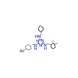 Cc1cccc(CNc2nc(NCc3ccccc3)nc(NC[C@H]3CC[C@H](C(C)=O)CC3)n2)c1C